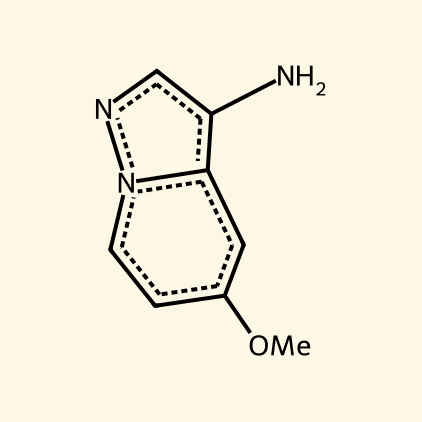 COc1ccn2ncc(N)c2c1